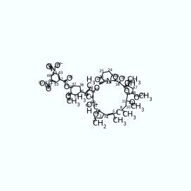 C=CCC1C=C(C)CC(C)CC(OC)C2OC(O)(C(=O)C(=O)N3CCCCC3C(=O)OC(C(C)=CC3CCC(OC(=O)c4cc([N+](=O)[O-])cc([N+](=O)[O-])c4)C(OC)C3)C(C)C(O)CC1=O)C(C)CC2OC